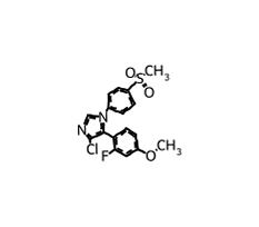 COc1ccc(-c2c(Cl)ncn2-c2ccc(S(C)(=O)=O)cc2)c(F)c1